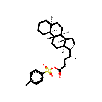 Cc1ccc(S(=O)(=O)OC(=O)CC[C@@H](C)[C@H]2CC[C@H]3[C@@H]4CC[C@@H]5CCCC[C@]5(C)[C@H]4CC[C@]23C)cc1